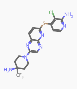 Nc1nccc(Sc2ccc3nc(N4CCC(N)(C(F)(F)F)CC4)cnc3n2)c1Cl